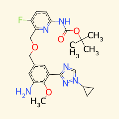 COc1c(N)cc(COCc2nc(NC(=O)OC(C)(C)C)ccc2F)cc1-c1ncn(C2CC2)n1